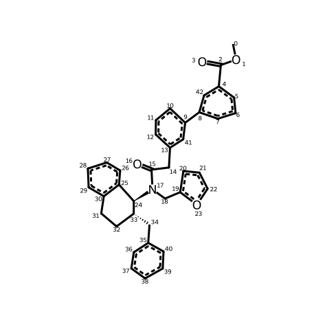 COC(=O)c1cccc(-c2cccc(CC(=O)N(Cc3ccco3)[C@@H]3c4ccccc4CC[C@H]3Cc3ccccc3)c2)c1